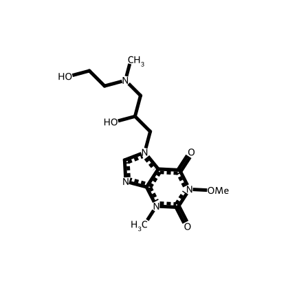 COn1c(=O)c2c(ncn2CC(O)CN(C)CCO)n(C)c1=O